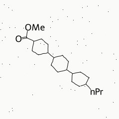 CCCC1CCC(C2CCC(C3CCC(C(=O)OC)CC3)CC2)CC1